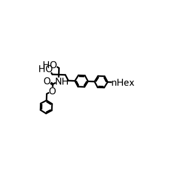 CCCCCCc1ccc(-c2ccc(CCC(CO)(CO)NC(=O)OCc3ccccc3)cc2)cc1